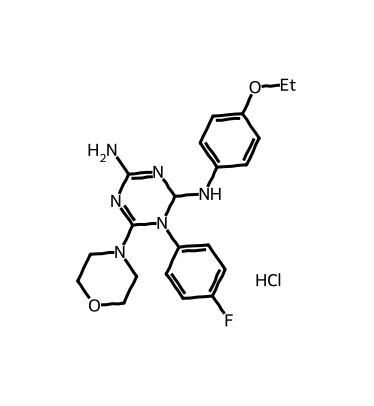 CCOc1ccc(NC2N=C(N)N=C(N3CCOCC3)N2c2ccc(F)cc2)cc1.Cl